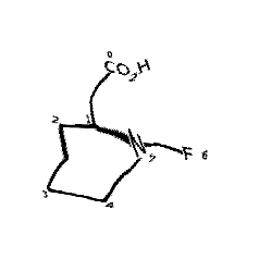 O=C(O)C1CCCN1F